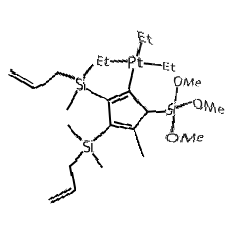 C=CC[Si](C)(C)C1=C(C)C([Si](OC)(OC)OC)[C]([Pt]([CH2]C)([CH2]C)[CH2]C)=C1[Si](C)(C)CC=C